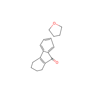 C1CCOC1.O=C1C2=C(CCCC2)c2ccccc21